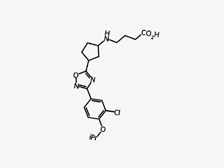 CC(C)Oc1ccc(-c2noc(C3CCC(NCCCC(=O)O)C3)n2)cc1Cl